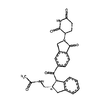 CC(=O)NC[C@H]1Cc2ccccc2N1C(=O)c1ccc2c(c1)CN(C1CCC(=O)NC1=O)C2=O